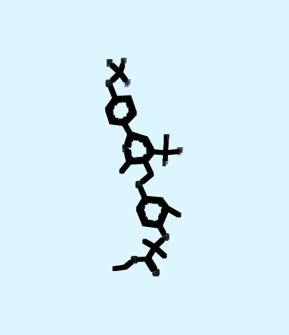 CCOC(=O)C(C)(C)Oc1ccc(OCc2c(C(F)(F)F)cc(-c3ccc(OC(F)(F)F)cc3)nc2C)cc1C